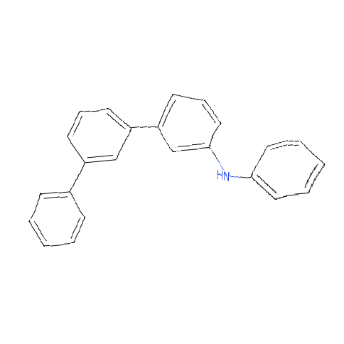 c1ccc(Nc2cccc(-c3cccc(-c4ccccc4)c3)c2)cc1